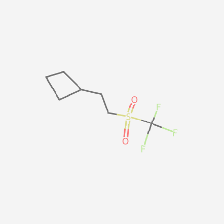 O=S(=O)(CCC1CCC1)C(F)(F)F